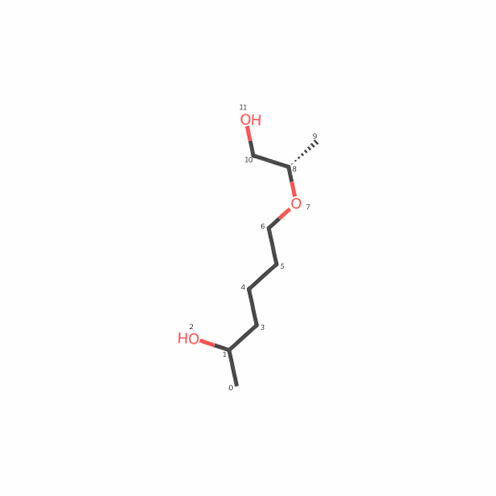 CC(O)CCCCO[C@@H](C)CO